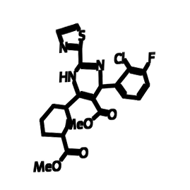 COC(=O)C1=C(C2CCCC(C(=O)OC)C2)NC(c2nccs2)=NC1c1cccc(F)c1Cl